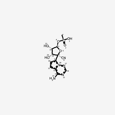 CP(=O)(O)O[C@H]1O[C@@](C#N)(c2ccc3c(N)ncnn23)[C@H](O)[C@@H]1O